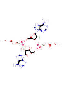 CC(C)OC(=O)OCSP1(=O)OC[C@H]2O[C@@H](n3cnc4c(N)ncnc43)[C@@H](OP(=O)(SCOC(=O)OC(C)C)OC[C@H]3O[C@@H](n4cnc5c(N)ncnc54)[C@@H](F)C3O1)C2O